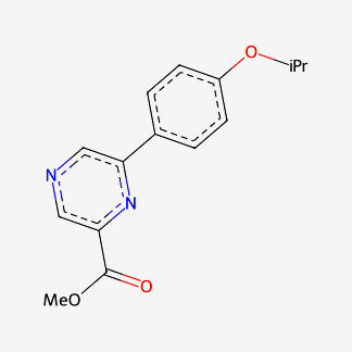 COC(=O)c1cncc(-c2ccc(OC(C)C)cc2)n1